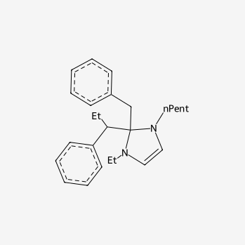 CCCCCN1C=CN(CC)C1(Cc1ccccc1)C(CC)c1ccccc1